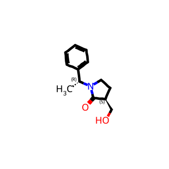 C[C@H](c1ccccc1)N1CC[C@@H](CO)C1=O